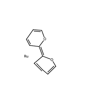 C1=COC(=C2C=CC=CO2)C=C1.[Ru]